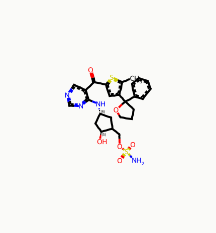 Cc1sc(C(=O)c2cncnc2N[C@@H]2CC(COS(N)(=O)=O)[C@@H](O)C2)cc1C1(c2ccccc2)CCCO1